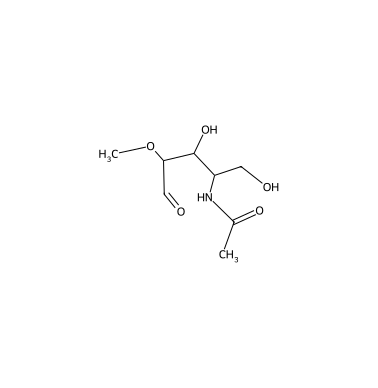 COC(C=O)C(O)C(CO)NC(C)=O